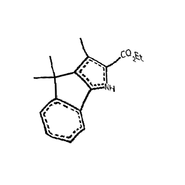 CCOC(=O)c1[nH]c2c(c1C)C(C)(C)c1ccccc1-2